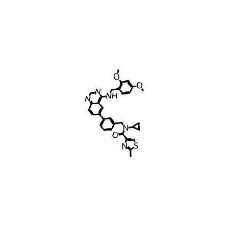 COc1ccc(CNc2ncnc3ccc(-c4cccc(CN(C(=O)c5csc(C)n5)C5CC5)c4)cc23)c(OC)c1